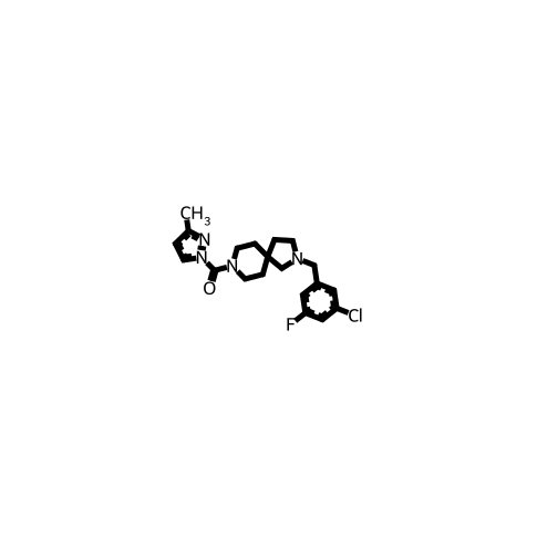 Cc1ccn(C(=O)N2CCC3(CCN(Cc4cc(F)cc(Cl)c4)C3)CC2)n1